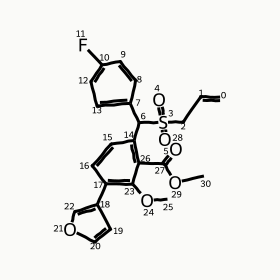 C=CCS(=O)(=O)C(c1ccc(F)cc1)c1ccc(-c2ccoc2)c(OC)c1C(=O)OC